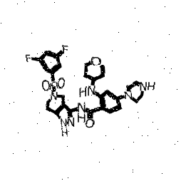 O=C(Nc1n[nH]c2c1CN(S(=O)(=O)c1cc(F)cc(F)c1)CC2)c1ccc(N2CCNCC2)cc1NC1CCOCC1